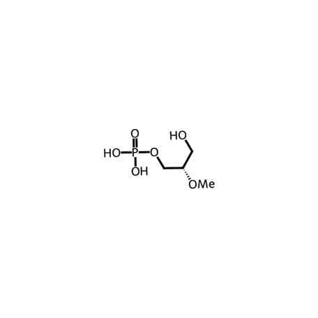 CO[C@@H](CO)COP(=O)(O)O